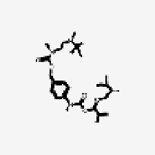 CC(C)C(OC[C@@H](C)C(C)C)OC(=O)N(C)c1ccc(COC(=O)N(C)CCN(C)C(C)(C)C)cc1